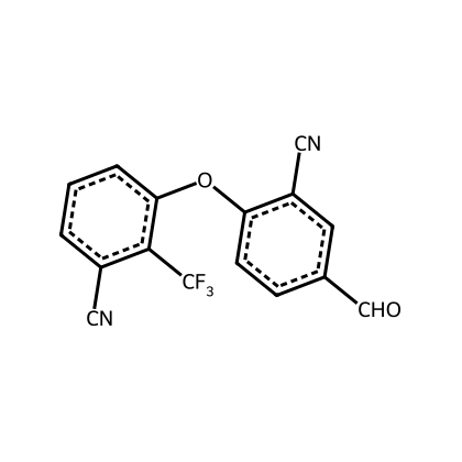 N#Cc1cc(C=O)ccc1Oc1cccc(C#N)c1C(F)(F)F